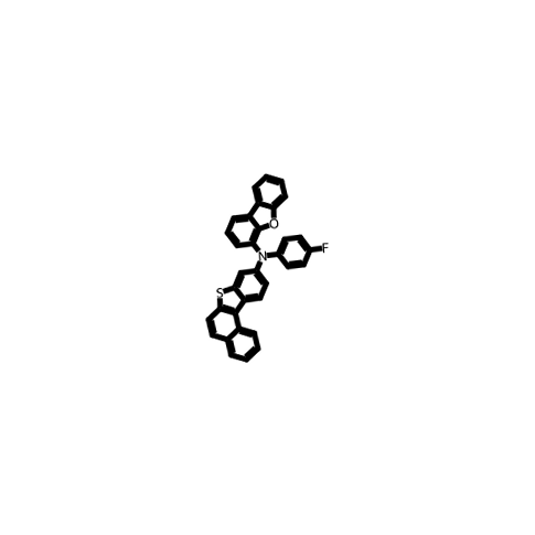 Fc1ccc(N(c2ccc3c(c2)sc2ccc4ccccc4c23)c2cccc3c2oc2ccccc23)cc1